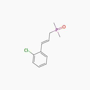 CP(C)(=O)C/C=C/c1ccccc1Cl